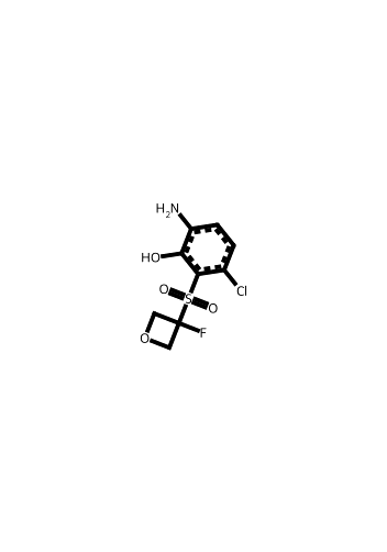 Nc1ccc(Cl)c(S(=O)(=O)C2(F)COC2)c1O